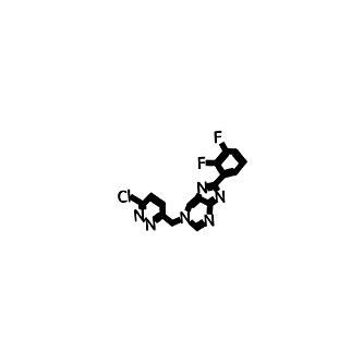 Fc1cccc(-c2nc3cn(Cc4ccc(Cl)nn4)cnc-3n2)c1F